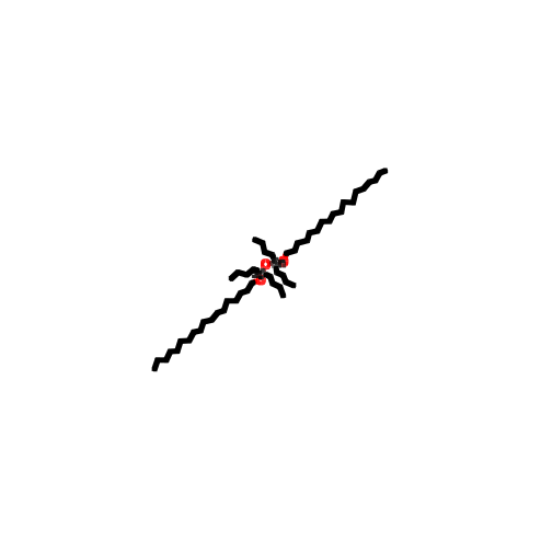 CCCCCCCCCCCCCCCCCC[O][Sn]([CH2]CCC)([CH2]CCC)[O][Sn]([CH2]CCC)([CH2]CCC)[O]CCCCCCCCCCCCCCCCCC